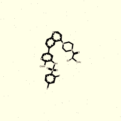 CC[C@H](OC(C)=O)C(=O)N1CCN(c2ccnc3ccc(-c4cnc(OC)c(NS(=O)(=O)c5ccc(F)cc5F)c4)cc23)CC1